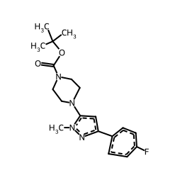 Cn1nc(-c2ccc(F)cc2)cc1N1CCN(C(=O)OC(C)(C)C)CC1